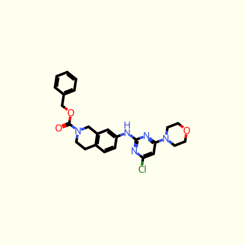 O=C(OCc1ccccc1)N1CCc2ccc(Nc3nc(Cl)cc(N4CCOCC4)n3)cc2C1